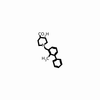 Cc1c(CN2CCC(C(=O)O)CC2)cccc1-c1ccccc1